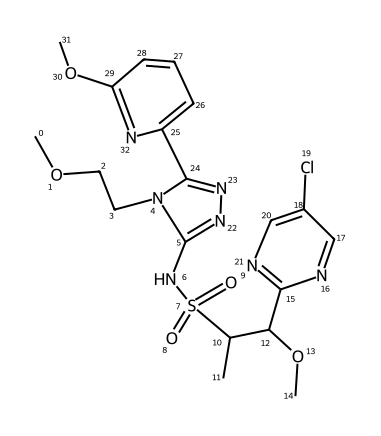 COCCn1c(NS(=O)(=O)C(C)C(OC)c2ncc(Cl)cn2)nnc1-c1cccc(OC)n1